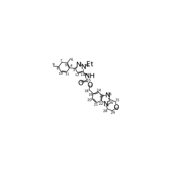 CCn1nc(C2=C(C)CC(C)C=C2)cc1NC(=O)OCc1ccc2c(c1)nc1n2CCOC1